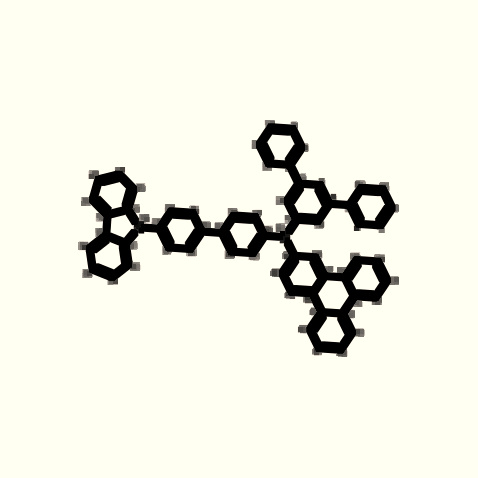 c1ccc(-c2cc(-c3ccccc3)cc(N(c3ccc(-c4ccc(-n5c6ccccc6c6ccccc65)cc4)cc3)c3ccc4c5ccccc5c5ccccc5c4c3)c2)cc1